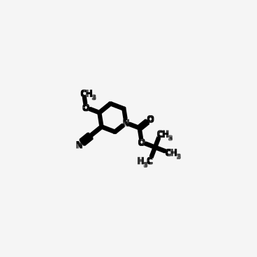 COC1CCN(C(=O)OC(C)(C)C)CC1C#N